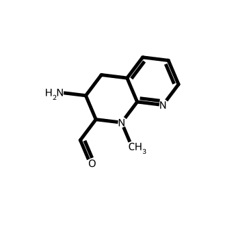 CN1c2ncccc2CC(N)C1C=O